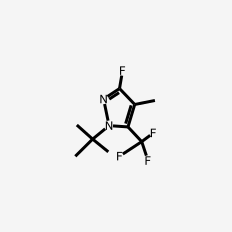 Cc1c(F)nn(C(C)(C)C)c1C(F)(F)F